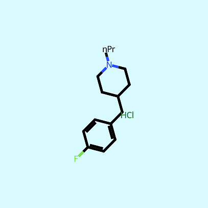 CCCN1CCC(Cc2ccc(F)cc2)CC1.Cl